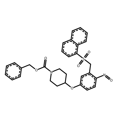 O=Nc1ccc(OC2CCN(C(=O)OCc3ccccc3)CC2)cc1CS(=O)(=O)c1cccc2ccccc12